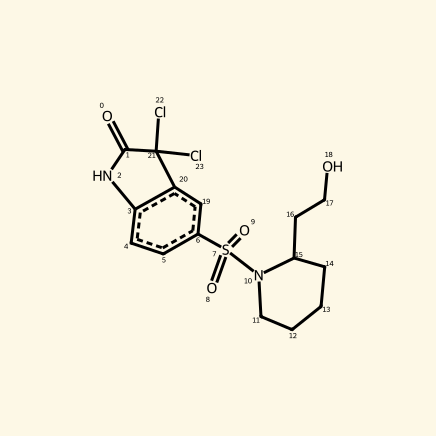 O=C1Nc2ccc(S(=O)(=O)N3CCCCC3CCO)cc2C1(Cl)Cl